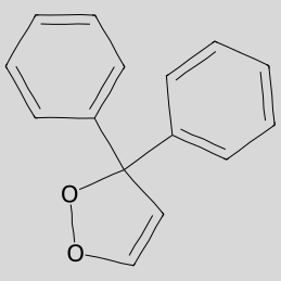 C1=CC(c2ccccc2)(c2ccccc2)OO1